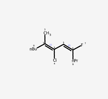 CCCC/C(C)=C(Cl)/C=C(/F)CCC